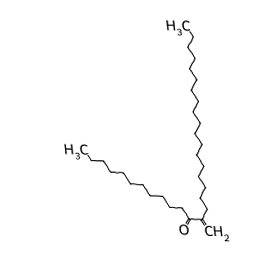 C=C(CCCCCCCCCCCCCCCCCC)C(=O)CCCCCCCCCCC